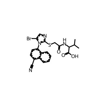 CC(C)C(NC(=O)CSc1ncc(Br)n1-c1ccc(C#N)c2ccccc12)C(=O)O